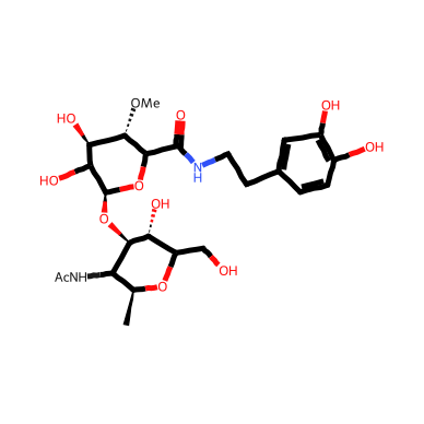 CO[C@@H]1C(C(=O)NCCc2ccc(O)c(O)c2)O[C@@H](O[C@@H]2C(NC(C)=O)[C@H](C)OC(CO)[C@H]2O)C(O)[C@H]1O